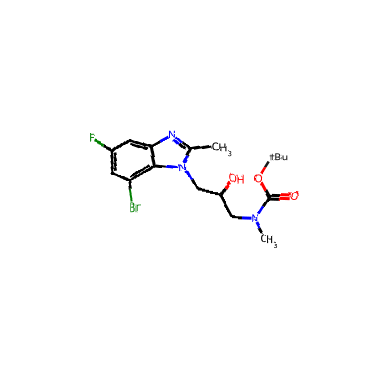 Cc1nc2cc(F)cc(Br)c2n1CC(O)CN(C)C(=O)OC(C)(C)C